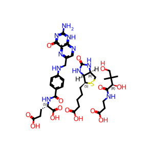 CC(C)(CO)[C@@H](O)C(=O)NCCC(=O)O.Nc1nc(=O)c2nc(CNc3ccc(C(=O)N[C@@H](CCC(=O)O)C(=O)O)cc3)cnc2[nH]1.O=C(O)CCCC[C@@H]1SC[C@@H]2NC(=O)N[C@@H]21